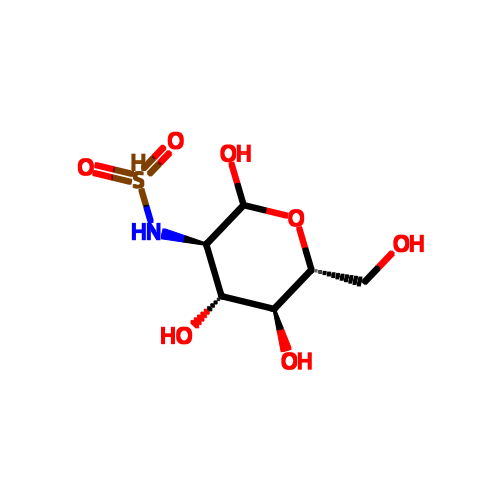 O=[SH](=O)N[C@H]1C(O)O[C@H](CO)[C@@H](O)[C@@H]1O